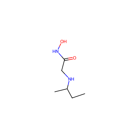 CCC(C)NCC(=O)NO